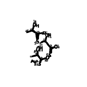 CC(O)C([O-])=S.CC(O)C([O-])=S.CC(O)C([O-])=S.[Au+3]